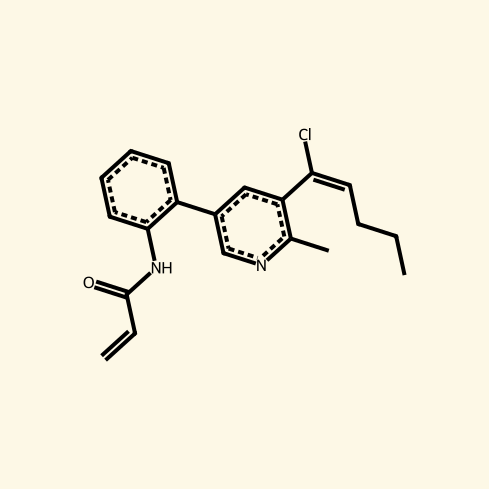 C=CC(=O)Nc1ccccc1-c1cnc(C)c(/C(Cl)=C\CCC)c1